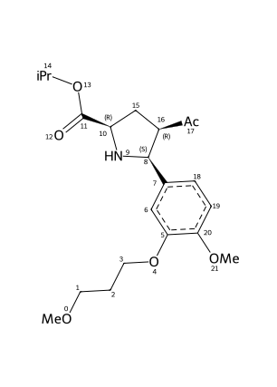 COCCCOc1cc([C@H]2N[C@@H](C(=O)OC(C)C)C[C@H]2C(C)=O)ccc1OC